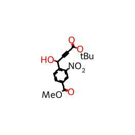 COC(=O)c1ccc(C(O)C#CC(=O)OC(C)(C)C)c([N+](=O)[O-])c1